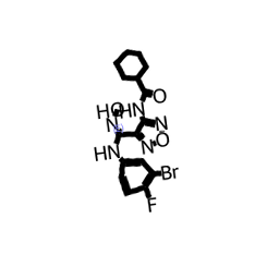 O=C(Nc1nonc1/C(=N\O)Nc1ccc(F)c(Br)c1)C1CCCCC1